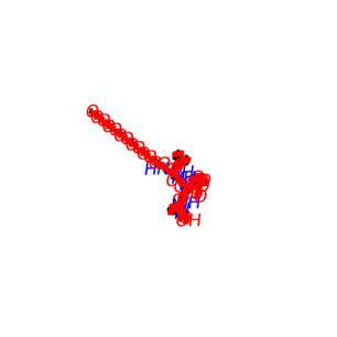 CCOCc1nc2c(NC(=O)OCc3ccc(O[C@H]4O[C@H](COC(C)=O)[C@@H](OC(C)=O)[C@H](OC(C)=O)[C@@H]4OC(C)=O)c(NC(=O)CCNC(=O)[C@H](CCCCNC(=O)CCOCCOCCOCCOCCOCCOCCOCCOCCOCCOCCOCCOC)NC(=O)OCC4c5ccccc5-c5ccccc54)c3)nc3ccccc3c2n1CC(C)(C)O